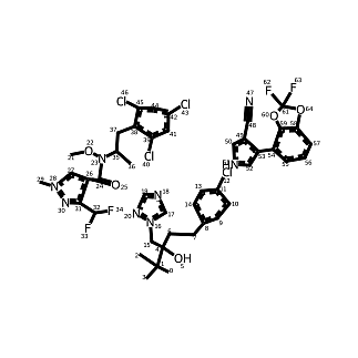 CC(C)(C)C(O)(CCc1ccc(Cl)cc1)Cn1cncn1.CON(C(=O)c1cn(C)nc1C(F)F)C(C)Cc1c(Cl)cc(Cl)cc1Cl.N#Cc1c[nH]cc1-c1cccc2c1OC(F)(F)O2